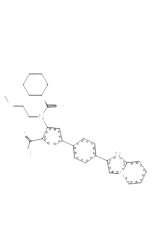 COCCN(c1cc(-c2ccc(-c3cn4ccccc4n3)cc2)sc1C(=O)O)C(=O)[C@H]1CC[C@H](C)CC1